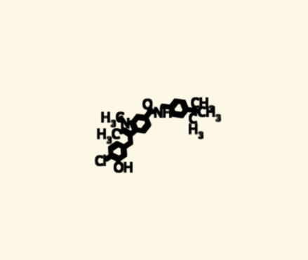 Cc1c(Cc2ccc(Cl)c(O)c2)c2ccc(C(=O)NCc3ccc(C(C)(C)C)cc3)cc2n1C